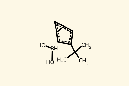 CC(C)(C)c1cc2cc-2c1.OBO